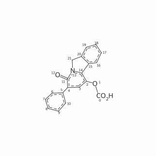 O=C(O)Oc1cc(-c2ccccc2)c(=O)n2c1-c1ccccc1C2